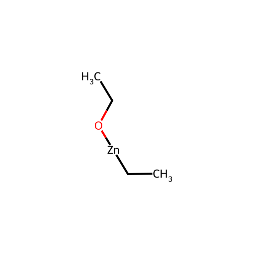 CC[O][Zn][CH2]C